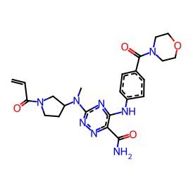 C=CC(=O)N1CCC(N(C)c2nnc(C(N)=O)c(Nc3ccc(C(=O)N4CCOCC4)cc3)n2)C1